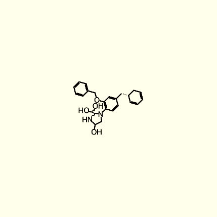 OC1CN(c2ccc(C[C@H]3C=CC=CC3)cc2OCc2ccccc2)S(O)(O)N1